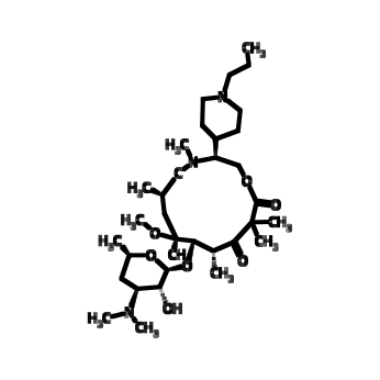 CCCN1CCC([C@H]2COC(=O)C(C)(C)C(=O)[C@H](C)[C@@H](O[C@@H]3O[C@H](C)C[C@H](N(C)C)[C@H]3O)[C@](C)(OC)C[C@@H](C)CN2C)CC1